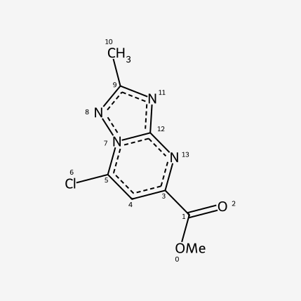 COC(=O)c1cc(Cl)n2nc(C)nc2n1